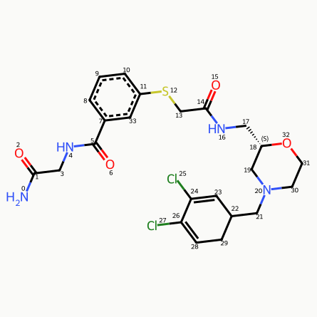 NC(=O)CNC(=O)c1cccc(SCC(=O)NC[C@H]2CN(CC3C=C(Cl)C(Cl)=CC3)CCO2)c1